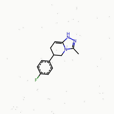 CC1=NNC2=CCC(c3ccc(F)cc3)CN21